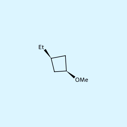 CC[C@H]1C[C@@H](OC)C1